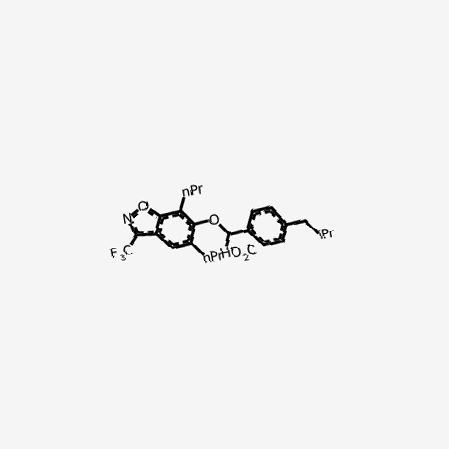 CCCc1cc2c(C(F)(F)F)noc2c(CCC)c1OC(C(=O)O)c1ccc(CC(C)C)cc1